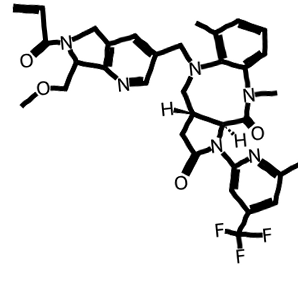 C=CC(=O)N1Cc2cc(CN3C[C@H]4CC(=O)N(c5cc(C(F)(F)F)cc(C)n5)[C@@H]4C(=O)N(C)c4cccc(C)c43)cnc2C1COC